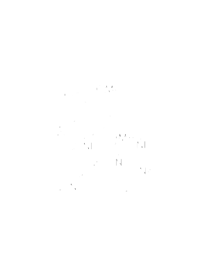 COc1cc(OC)c(NC(=O)c2cccnc2SCc2ccnc(N)n2)cc1Cl